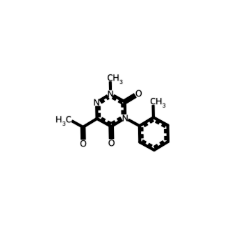 CC(=O)c1nn(C)c(=O)n(-c2ccccc2C)c1=O